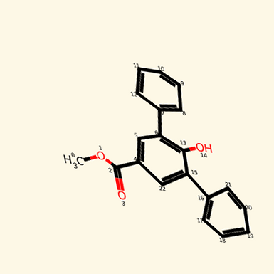 COC(=O)c1cc(-c2ccccc2)c(O)c(-c2ccccc2)c1